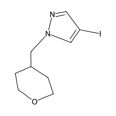 Ic1cnn(CC2CCOCC2)c1